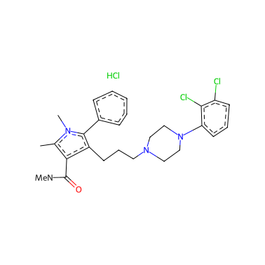 CNC(=O)c1c(CCCN2CCN(c3cccc(Cl)c3Cl)CC2)c(-c2ccccc2)n(C)c1C.Cl